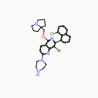 Clc1cccc2cccc(-c3nc(OCC45CCCN4CCC5)c4ccc(N5CCNCC5)nc4c3Br)c12